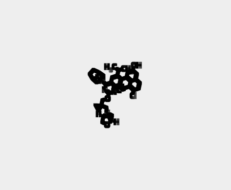 C#Cc1c(Cl)ccc2cc(O)cc(-c3c(C(C)C)cc4c(N5CC6CCC(C5)N6)nc(OCC5(CN6C[C@@H]7C[C@H]6CO7)CC5)nc4c3F)c12